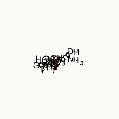 C[C@]12C=CC(=O)C=C1[C@@H](F)C[C@H]1[C@@H]3C[C@H]4O[C@@H](c5cccc(Cc6cc(N)cc(CO)c6)c5)O[C@@]4(C(=O)SCF)[C@@]3(C)C[C@H](O)[C@@]12F